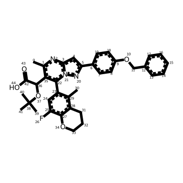 Cc1nc2cc(-c3ccc(OCc4ccccc4)cc3)nn2c(-c2cc(F)c3c(c2C)CCCO3)c1C(OC(C)(C)C)C(=O)O